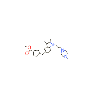 COC(=O)c1ccc(Cc2ccc3c(c2)c(C)c(C)n3CCCN2CCN(C)CC2)cc1